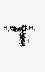 Cc1cc(-c2ccn3nc(NC(=O)C4CC4)cc3c2)c(OC[C@@H]2CCN(C)C2)cn1